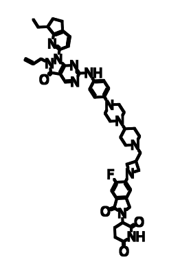 C=CCn1c(=O)c2cnc(Nc3ccc(N4CCN(C5CCN(CC6CN(c7cc8c(cc7F)C(=O)N(C7CCC(=O)NC7=O)C8)C6)CC5)CC4)cc3)nc2n1-c1ccc2c(n1)C(CC)CC2